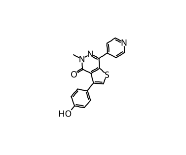 Cn1nc(-c2ccncc2)c2scc(-c3ccc(O)cc3)c2c1=O